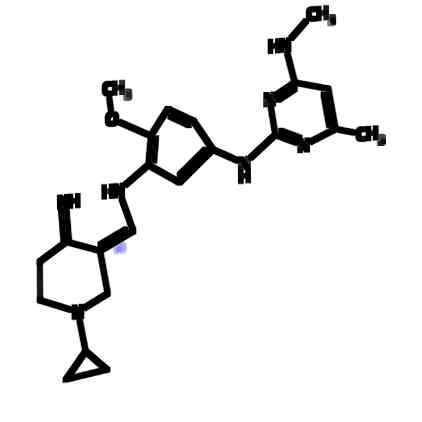 CNc1cc(C)nc(Nc2ccc(OC)c(N/C=C3/CN(C4CC4)CCC3=N)c2)n1